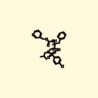 CC(C)CN(C[C@@H](O)[C@H](Cc1ccccc1)NC(=O)OCc1cccnc1)S(=O)(=O)c1ccc(Cl)cc1